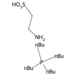 CCCC[P](CCCC)(CCCC)CCCC.NCCS(=O)(=O)O